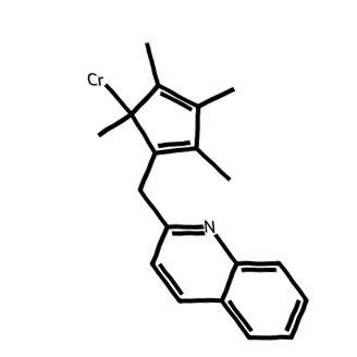 CC1=C(C)[C](C)([Cr])C(Cc2ccc3ccccc3n2)=C1C